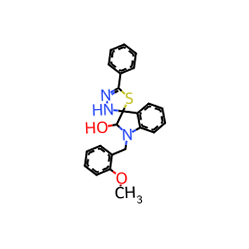 COc1ccccc1CN1c2ccccc2C2(NN=C(c3ccccc3)S2)C1O